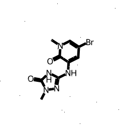 Cn1cc(Br)cc(Nc2nn(C)c(=O)[nH]2)c1=O